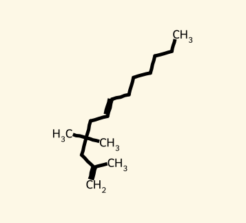 C=C(C)CC(C)(C)CC=CCCCCCC